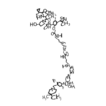 Cc1ncsc1-c1ccc(CNC(=O)[C@@H]2C[C@@H](O)CN2C(=O)[C@@H](NC(=O)C2(F)CC2)C(C)(C)C)c(OCC(=O)NCCCN2CC[C@@]3(CCN(CC(=O)NCCCNc4cc(N5CCC6(CC5)CN(c5cc(F)c(CN7CCC(C)(C)CC7)cc5F)CC(O)N6)ncn4)C3)C2)c1